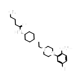 COc1ccc(Cl)cc1N1CCN(CC[C@H]2CC[C@H](NC(=O)CCCC#N)CC2)CC1